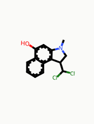 CN1CC(C(Cl)Cl)c2c1cc(O)c1ccccc21